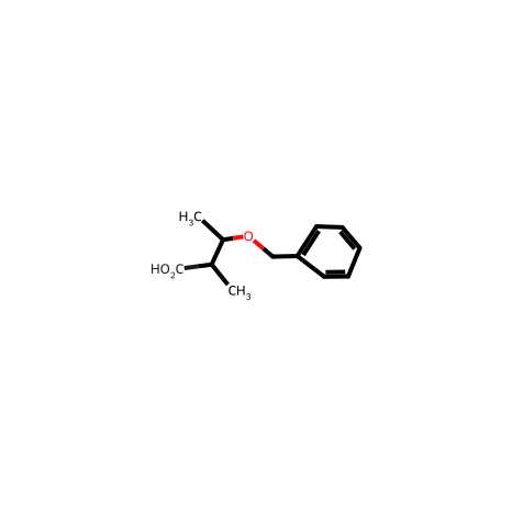 CC(OCc1ccccc1)C(C)C(=O)O